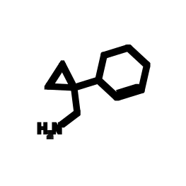 NCC1(C2C=CCCC2)CC1